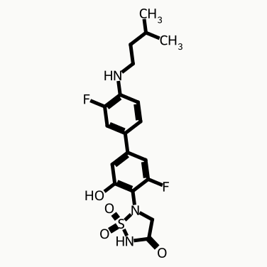 CC(C)CCNc1ccc(-c2cc(O)c(N3CC(=O)NS3(=O)=O)c(F)c2)cc1F